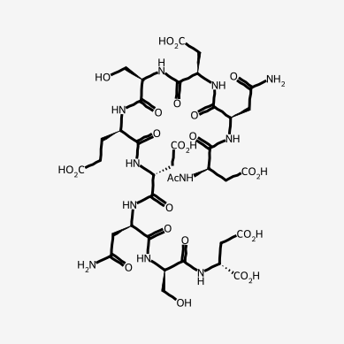 CC(=O)N[C@H](CC(=O)O)C(=O)N[C@H](CC(N)=O)C(=O)N[C@H](CC(=O)O)C(=O)N[C@H](CO)C(=O)N[C@H](CCC(=O)O)C(=O)N[C@H](CC(=O)O)C(=O)N[C@H](CC(N)=O)C(=O)N[C@H](CO)C(=O)N[C@H](CC(=O)O)C(=O)O